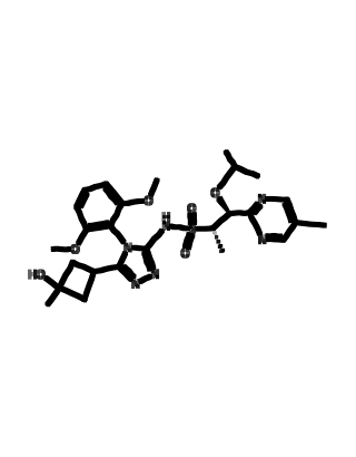 COc1cccc(OC)c1-n1c(NS(=O)(=O)[C@@H](C)[C@@H](OC(C)C)c2ncc(C)cn2)nnc1C1CC(C)(O)C1